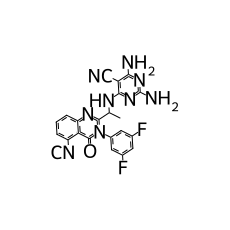 CC(Nc1nc(N)nc(N)c1C#N)c1nc2cccc(C#N)c2c(=O)n1-c1cc(F)cc(F)c1